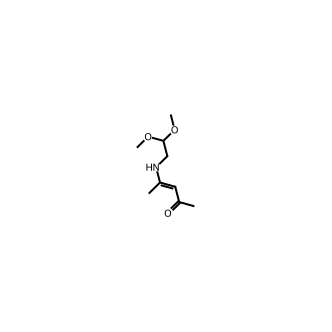 COC(CNC(C)=CC(C)=O)OC